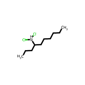 CCCCCCC(CCC)[SiH](Cl)Cl